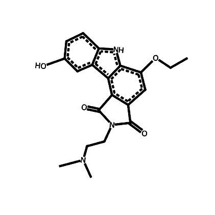 CCOc1cc2c(c3c1[nH]c1ccc(O)cc13)C(=O)N(CCN(C)C)C2=O